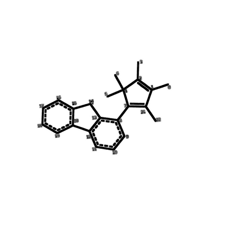 CC1=C(C)C(C)(C)C(c2cccc3c2[CH]c2ccccc2-3)=C1C